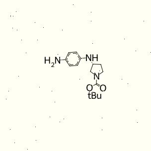 CC(C)(C)OC(=O)N1CC[C@@H](Nc2ccc(N)cc2)C1